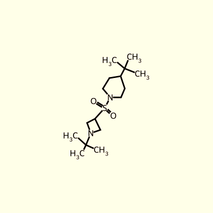 CC(C)(C)C1CCN(S(=O)(=O)C2CN(C(C)(C)C)C2)CC1